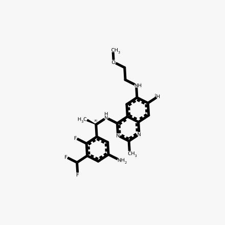 [2H]c1cc2nc(C)nc(N[C@H](C)c3cc(N)cc(C(F)F)c3F)c2cc1NCCOC